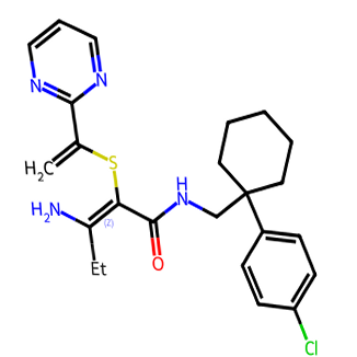 C=C(S/C(C(=O)NCC1(c2ccc(Cl)cc2)CCCCC1)=C(\N)CC)c1ncccn1